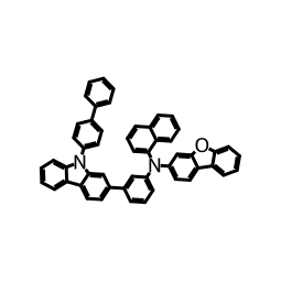 c1ccc(-c2ccc(-n3c4ccccc4c4ccc(-c5cccc(N(c6ccc7c(c6)oc6ccccc67)c6cccc7ccccc67)c5)cc43)cc2)cc1